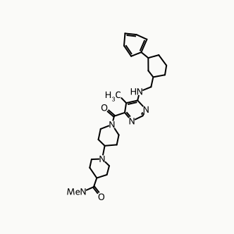 CNC(=O)C1CCN(C2CCN(C(=O)c3ncnc(NCC4CCCC(c5ccccc5)C4)c3C)CC2)CC1